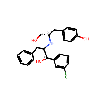 OC[C@H](Cc1ccc(O)cc1)NC(Cc1ccccc1)[C@H](O)c1cccc(Cl)c1